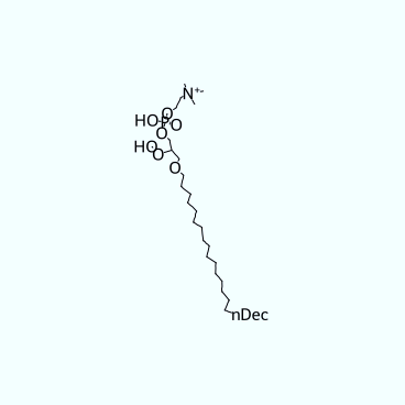 CCCCCCCCCCCCCCCCCCCCCCCCCCOCC(COP(=O)(O)OCC[N+](C)(C)C)OO